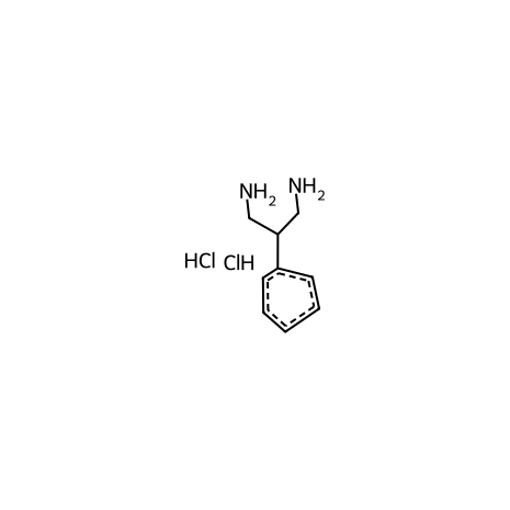 Cl.Cl.NCC(CN)c1ccccc1